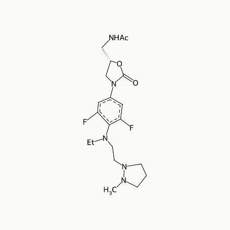 CCN(CCN1CCCN1C)c1c(F)cc(N2C[C@H](CNC(C)=O)OC2=O)cc1F